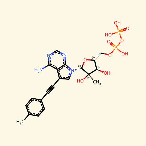 Cc1ccc(C#Cc2cn([C@@H]3O[C@H](COP(=O)(O)OP(=O)(O)O)[C@@H](O)[C@@]3(C)O)c3ncnc(N)c23)cc1